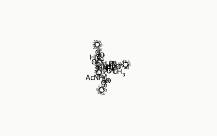 CC(=O)N[C@H](CCC(=O)N[C@H](CSC[C@H](NC(=O)OCc1ccccc1)C(=O)OCc1ccccc1)C(=O)N[C@H](C)C(=O)OCc1ccccc1)C(=O)OCc1ccccc1